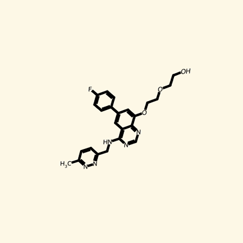 Cc1ccc(CNc2ncnc3c(OCCOCCO)cc(-c4ccc(F)cc4)cc23)nn1